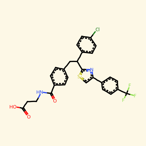 O=C(O)CCNC(=O)c1ccc(CC(c2ccc(Cl)cc2)c2nc(-c3ccc(C(F)(F)F)cc3)cs2)cc1